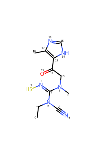 CCN(C#N)C(=NS)N(C)CC(=O)c1[nH]cnc1C